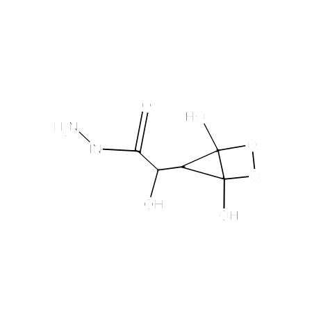 NNC(=O)C(O)C1C2(O)OOC12O